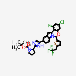 CC(C)(C)OC(=O)N1CCCC1c1ncc(-c2ccc3c(c2)cc2n3C(c3ccc(CC(F)(F)F)s3)Oc3cc(Cl)cc(F)c3-2)[nH]1